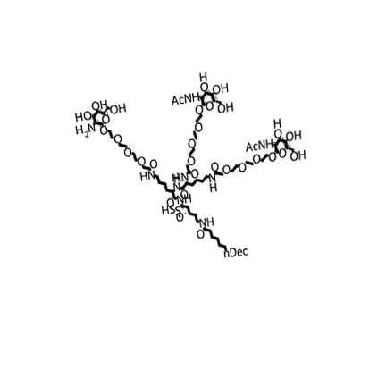 CCCCCCCCCCCCCCCC(=O)NCCCCC(NC(=O)C(CCCCNC(=O)COCCOCCOCCO[C@@H]1O[C@H](CO)[C@H](O)[C@H](O)[C@H]1N)NC(=O)C(CCCCNC(=O)COCCOCCOCCO[C@@H]1O[C@H](CO)[C@H](O)[C@H](O)[C@H]1NC(C)=O)NC(=O)COCCOCCOCCO[C@@H]1O[C@H](CO)[C@H](O)[C@H](O)[C@H]1NC(C)=O)[S+]([O-])S